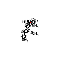 COCOc1cc(-c2ccn(C)c(=O)c2)c(F)cc1-c1ccc(N(C)C2CC3(C)CC[C@@](C)(C2)N3C(=O)O)nn1